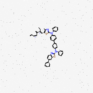 C=C/C=C\C(=C)/C(=C/c1sc(N(c2ccccc2)c2ccc(-c3ccc(N(c4ccccc4)c4nc5ccc(-c6ccccc6)cc5s4)cc3)cc2)nc1C)CC